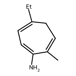 CCC1=CC=C(N)C(C)=CC1